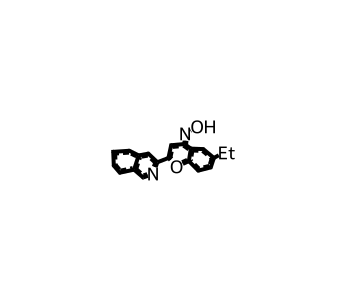 CCc1ccc2oc(-c3cc4ccccc4cn3)c/c(=N/O)c2c1